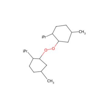 CC1CCC(C(C)C)C(OOC2CC(C)CCC2C(C)C)C1